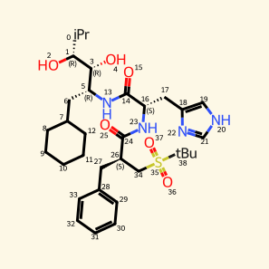 CC(C)[C@@H](O)[C@H](O)[C@@H](CC1CCCCC1)NC(=O)[C@H](Cc1c[nH]cn1)NC(=O)[C@H](Cc1ccccc1)CS(=O)(=O)C(C)(C)C